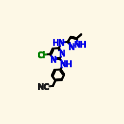 Cc1cc(Nc2cc(Cl)nc(Nc3ccc(CC#N)cc3)n2)n[nH]1